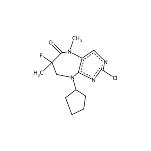 CN1C(=O)C(C)(F)CN(C2CCCC2)c2nc(Cl)ncc21